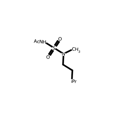 CC(=O)NS(=O)(=O)N(C)CCC(C)C